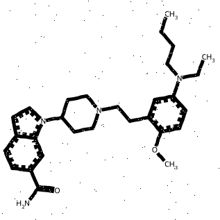 CCCCN(CC)c1ccc(OC)c(CCN2CCC(n3ccc4ccc(C(N)=O)cc43)CC2)c1